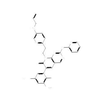 C=CCNc1ccc(CCn2c(=O)c(-c3cc(OC)cc(OC)c3Cl)cc3cnc(Nc4ccccn4)nc32)nc1